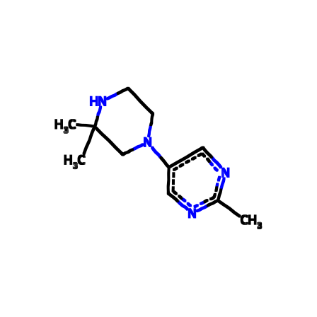 Cc1ncc(N2CCNC(C)(C)C2)cn1